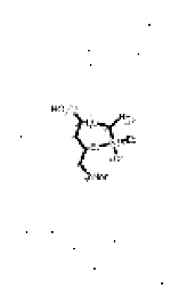 CCCCCCCCCCCCCC(=O)O.CC[N+]([O-])(CC)C(C)N